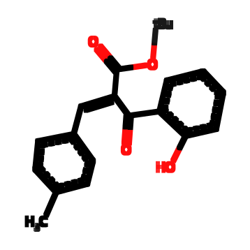 Cc1ccc(/C=C(/C(=O)OC(C)(C)C)C(=O)c2ccccc2O)cc1